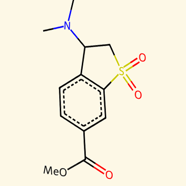 COC(=O)c1ccc2c(c1)S(=O)(=O)CC2N(C)C